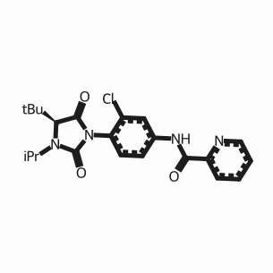 CC(C)N1C(=O)N(c2ccc(NC(=O)c3ccccn3)cc2Cl)C(=O)[C@@H]1C(C)(C)C